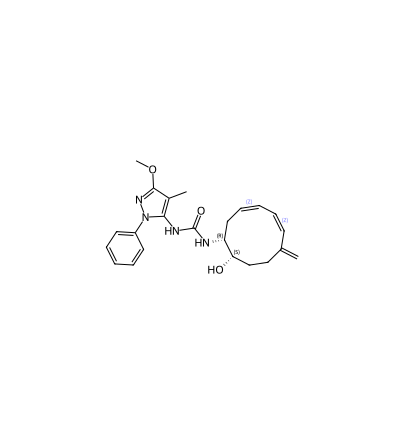 C=C1/C=C\C=C/C[C@@H](NC(=O)Nc2c(C)c(OC)nn2-c2ccccc2)[C@@H](O)CC1